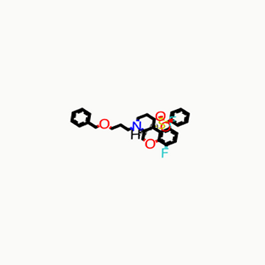 O=S(=O)(c1ccccc1)[C@@]12CCCN(CCCOCc3ccccc3)[C@@H]1COc1c(F)ccc(F)c12